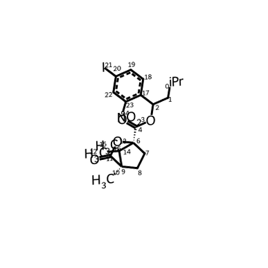 CC(C)CC(OC(=O)[C@@]12CC[C@@](C)(C(=O)O1)C2(C)C)c1ccc(I)cc1[N+](=O)[O-]